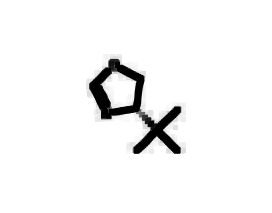 CC(C)(C)[C@H]1COC=N1